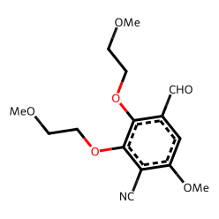 COCCOc1c(C=O)cc(OC)c(C#N)c1OCCOC